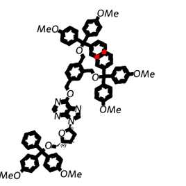 COc1ccc(C(OCc2ccc(COc3ncnc4c3ncn4[C@H]3C[CH][C@H](COC(c4ccccc4)(c4ccc(OC)cc4)c4ccc(OC)cc4)O3)cc2COC(c2ccccc2)(c2ccc(OC)cc2)c2ccc(OC)cc2)(c2ccccc2)c2ccc(OC)cc2)cc1